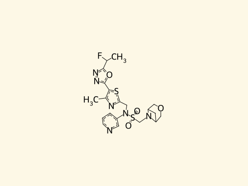 Cc1nc(CN(c2cccnc2)S(=O)(=O)CN2C3COCC2C3)sc1-c1nnc(C(C)F)o1